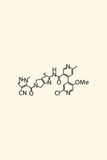 COc1cnc(Cl)cc1-c1cc(C)ncc1C(=O)Nc1nc2c(s1)CN(C(=O)c1c(C#N)cnn1C)C2